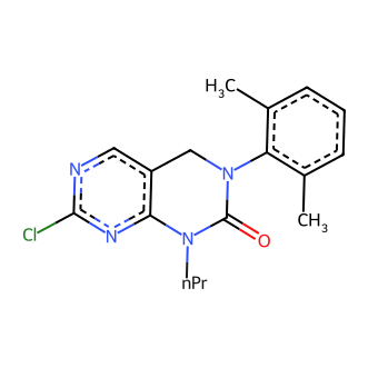 CCCN1C(=O)N(c2c(C)cccc2C)Cc2cnc(Cl)nc21